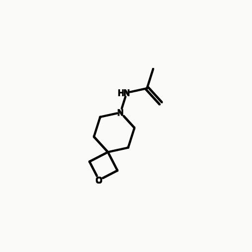 C=C(C)NN1CCC2(CC1)COC2